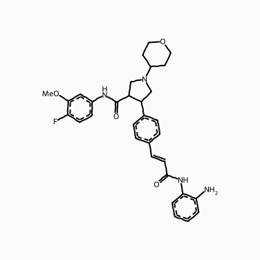 COc1cc(NC(=O)C2CN(C3CCOCC3)CC2c2ccc(/C=C/C(=O)Nc3ccccc3N)cc2)ccc1F